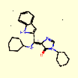 O=C1/C(=C(\NC2CCCCC2)c2cc3ccccc3[nH]2)N=CN1C1CCCCC1